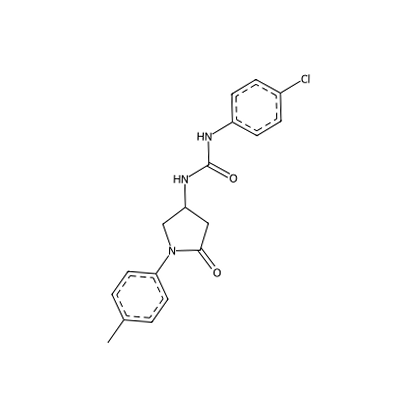 Cc1ccc(N2CC(NC(=O)Nc3ccc(Cl)cc3)CC2=O)cc1